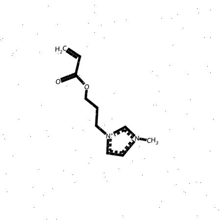 C=CC(=O)OCCC[n+]1ccn(C)c1